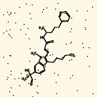 CCCCCc1c(/C=C/C(=O)NC(C)CCCc2cccnc2)n(C)c2cc([N@@+](C)(O)C=O)ccc12